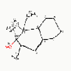 CC1CC2CCCCC2C(C)(C)C1(C)O